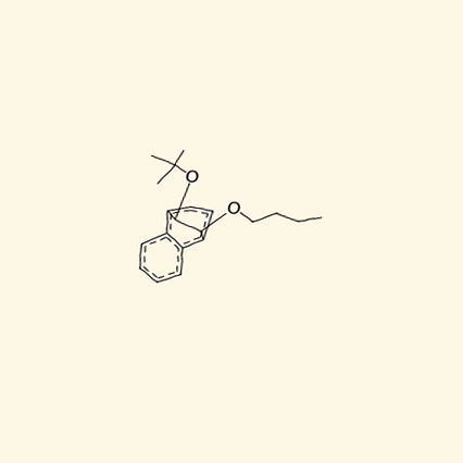 CCCCOC1c2ccc(c3ccccc23)C1OC(C)(C)C